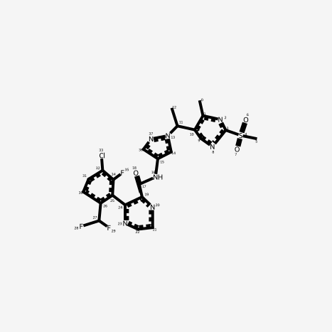 Cc1nc(S(C)(=O)=O)ncc1C(C)n1cc(NC(=O)c2nccnc2-c2c(C(F)F)ccc(Cl)c2F)cn1